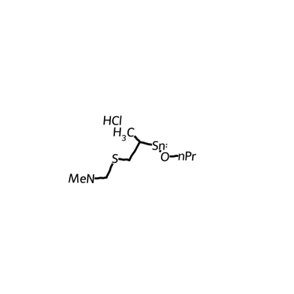 CCC[O][Sn][CH](C)CSCNC.Cl